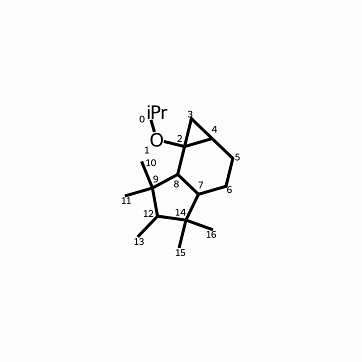 CC(C)OC12CC1CCC1C2C(C)(C)C(C)C1(C)C